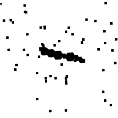 CCCCC[C@H]1CC[C@H](CC[C@H]2CC[C@H](COCCOCC)CC2)CC1